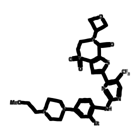 CCc1cc(N2CCN(CCOC)CC2)ccc1Nc1ncc(C(F)(F)F)c(-c2cc3c(s2)C(=O)N(C2COC2)CCS3(=O)=O)n1